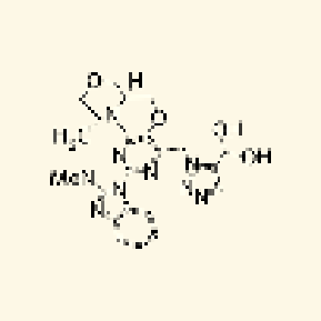 CNc1nc2ccccc2n1-c1nc(Cn2nncc2C(O)O)c2c(n1)N1[C@@H](COC[C@H]1C)CO2